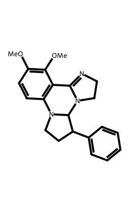 COc1ccc2c(c1OC)C1=NCCN1C1C(c3ccccc3)CCN21